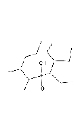 CCCC(C)C(C)P(=O)(O)C(CC)C(CC)CC